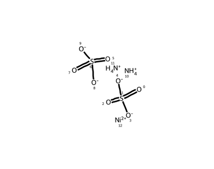 O=S(=O)([O-])[O-].O=S(=O)([O-])[O-].[NH4+].[NH4+].[Ni+2]